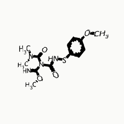 COC(=N)N(C(=O)NSc1ccc(OC)cc1)C(=O)N(C)C